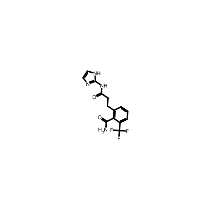 NC(=O)c1c(C[CH]C(=O)Nc2ncc[nH]2)cccc1C(F)(F)F